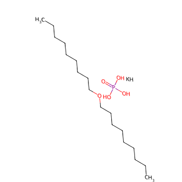 CCCCCCCCCOCCCCCCCCC.O=P(O)(O)O.[KH]